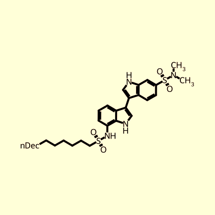 CCCCCCCCCCCCCCCCS(=O)(=O)Nc1cccc2c(-c3c[nH]c4cc(S(=O)(=O)N(C)C)ccc34)c[nH]c12